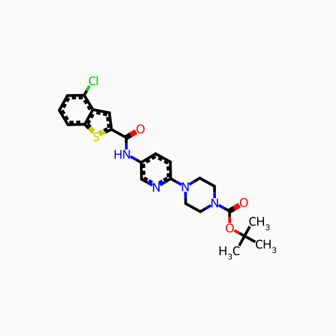 CC(C)(C)OC(=O)N1CCN(c2ccc(NC(=O)c3cc4c(Cl)cccc4s3)cn2)CC1